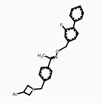 CC(=O)C1CN(Cc2ccc(/C(C)=N/OCc3ccc(-c4ccccc4)c(F)c3)cc2)C1